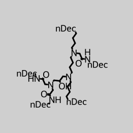 CCCCCCCCCCCCCCN(CCCCN(CCCCCCCCCCCCCC)CC(O)CN(CC(=O)NCCCCCCCCCC)CC(=O)NCCCCCCCCCC)CC(=O)NCCCCCCCCCC